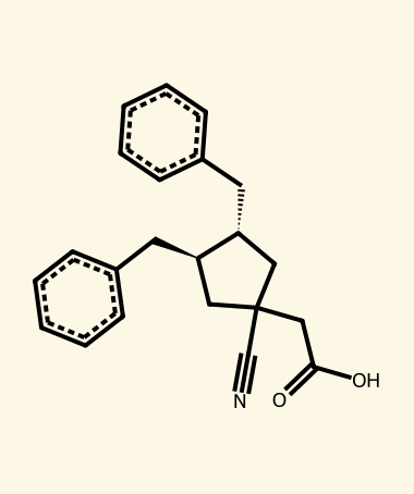 N#CC1(CC(=O)O)C[C@@H](Cc2ccccc2)[C@H](Cc2ccccc2)C1